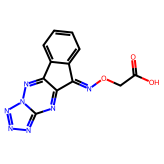 O=C(O)CO/N=C1\c2ccccc2-c2nn3nnnc3nc21